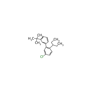 CCC(CC)c1ccc(Cl)cc1-c1cccc(C(C)(C)C)c1